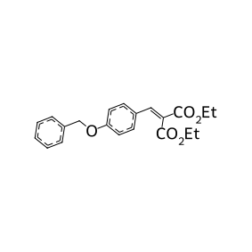 CCOC(=O)C(=Cc1ccc(OCc2ccccc2)cc1)C(=O)OCC